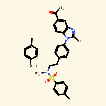 CCc1nc2cc(C(=O)C(F)(F)F)ccc2n1-c1ccc(CCN(C(=O)O)S(=O)(=O)c2ccc(C)cc2)cc1.Cc1ccc(S(=O)(=O)O)cc1